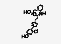 O=C(CCc1ccc(-c2ccc(O)cc2Cl)s1)Nc1ccccc1C(=O)O